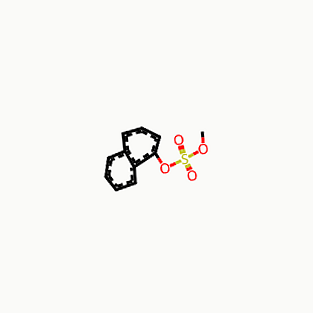 COS(=O)(=O)Oc1cccc2ccccc12